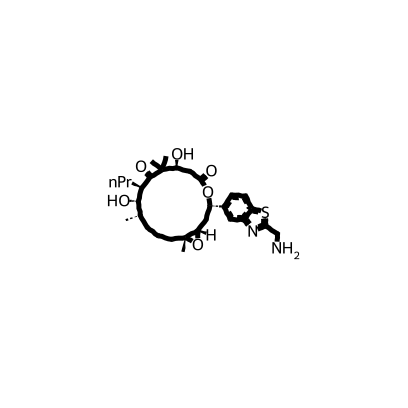 CCC[C@H]1C(=O)C(C)(C)[C@@H](O)CC(=O)O[C@H](c2ccc3sc(CN)nc3c2)C[C@@H]2O[C@]2(C)CCC[C@H](C)[C@@H]1O